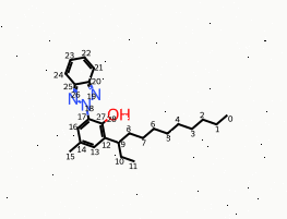 CCCCCCCCCC(CC)c1cc(C)cc(-n2nc3ccccc3n2)c1O